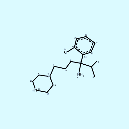 CC(C)C(N)(CCCN1CCNCC1)c1ccccc1Cl